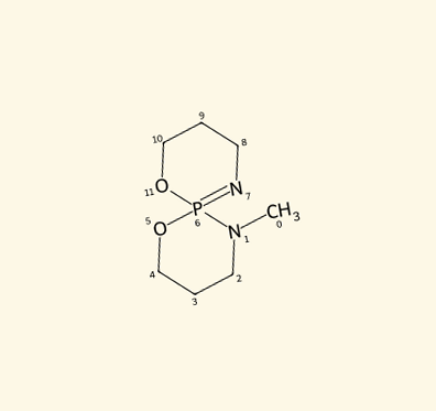 CN1CCCOP12=NCCCO2